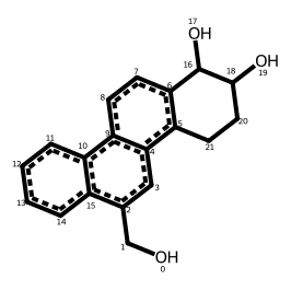 OCc1cc2c3c(ccc2c2ccccc12)C(O)C(O)CC3